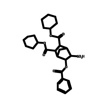 O=C(OC1C2CC(C(C(=O)OC3CCCCC3)C2C(=O)OC2CCCCC2)C1S(=O)(=O)O)c1ccccc1